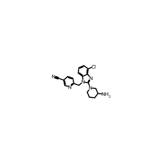 N#Cc1ccc(Cn2c(N3CCCC(N)C3)nc3c(Cl)cccc32)nc1